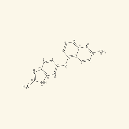 Cc1ccc2c(Sc3cnc4nc(C)[nH]c4n3)cccc2n1